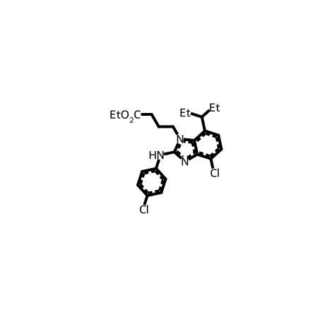 CCOC(=O)CCCn1c(Nc2ccc(Cl)cc2)nc2c(Cl)ccc(C(CC)CC)c21